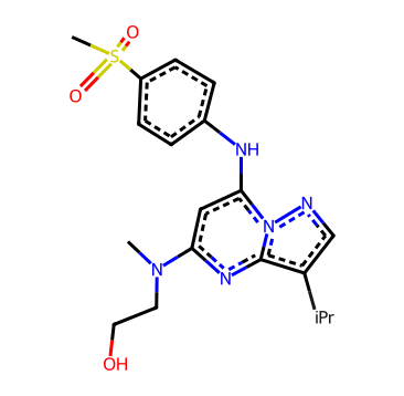 CC(C)c1cnn2c(Nc3ccc(S(C)(=O)=O)cc3)cc(N(C)CCO)nc12